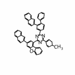 CC1C=CC(c2nc(-c3ccc(-c4ccccc4)c(-c4ccc5ccccc5c4)c3)nc(-c3cc(-c4ccc5ccccc5c4)cc4oc5ccccc5c34)n2)=CC1